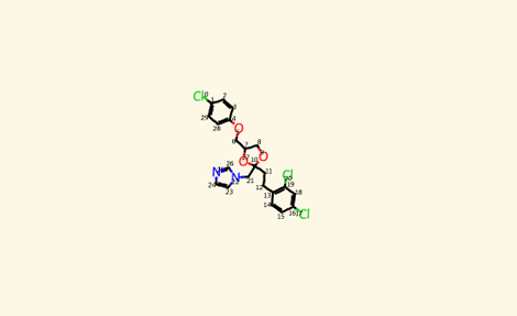 Clc1ccc(OCC2COC(CCc3ccc(Cl)cc3Cl)(Cn3ccnc3)O2)cc1